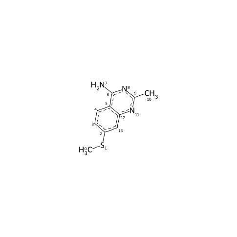 CSc1ccc2c(N)nc(C)nc2c1